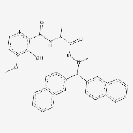 COc1ccnc(C(=O)NC(C)C(=O)ON(C)C(c2ccc3ccccc3c2)c2ccc3ccccc3c2)c1O